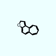 C1=CC=c2c(ccc3c2=CCO3)C=C1